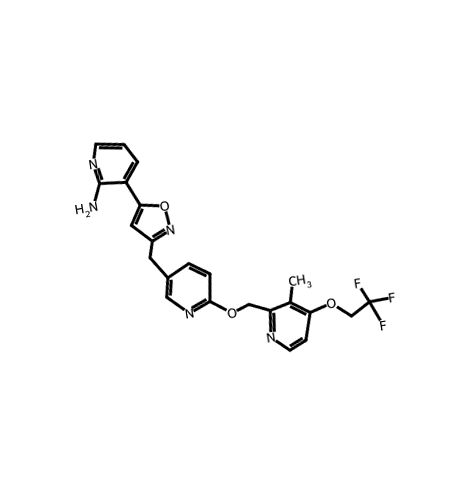 Cc1c(OCC(F)(F)F)ccnc1COc1ccc(Cc2cc(-c3cccnc3N)on2)cn1